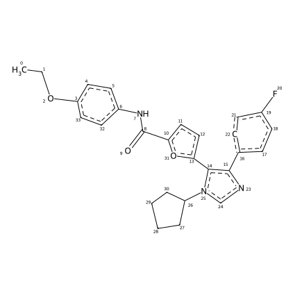 CCOc1ccc(NC(=O)c2ccc(-c3c(-c4ccc(F)cc4)ncn3C3CCCC3)o2)cc1